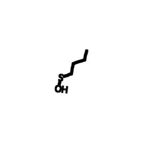 CCCCSO